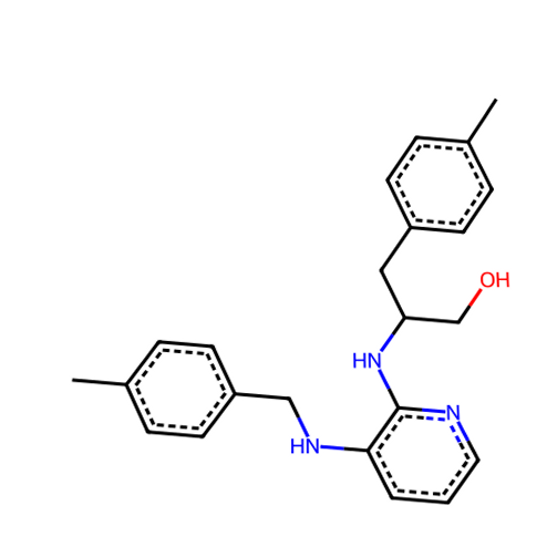 Cc1ccc(CNc2cccnc2NC(CO)Cc2ccc(C)cc2)cc1